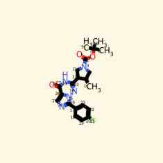 CC1CN(C(=O)OC(C)(C)C)CC1c1nn2c(-c3ccc(F)cc3)ncc2c(=O)[nH]1